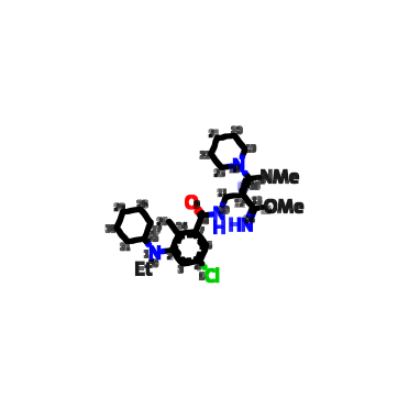 CCN(c1cc(Cl)cc(C(=O)NC/C(C(=N)OC)=C(/NC)N2CCCCC2)c1C)C1CCCCC1